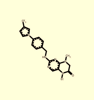 CCN1C(=O)CN(C)c2nc(NCc3ccc(-n4ccc(C(F)(F)F)c4)cc3)ncc21